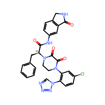 O=C1NCc2ccc(NC(=O)[C@H](Cc3ccccc3)N3CCN(c4cc(Cl)ccc4-n4cnnn4)C(=O)C3=O)cc21